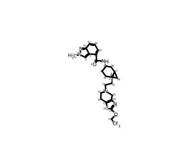 Cn1cc2c(C(=O)N[C@H]3CC[C@@]4(CCN5CCc6sc(OCC(F)(F)F)nc6C5)C[C@H]4C3)cccc2n1